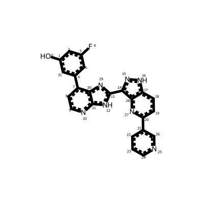 Oc1cc(F)cc(-c2ccnc3[nH]c(-c4n[nH]c5ccc(-c6cccnc6)nc45)nc23)c1